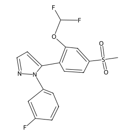 CS(=O)(=O)c1ccc(-c2ccnn2-c2cccc(F)c2)c(OC(F)F)c1